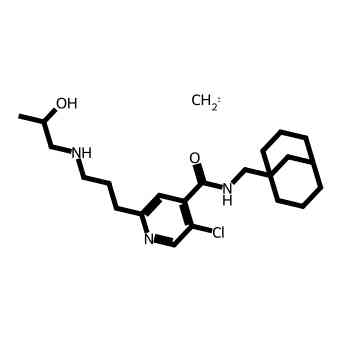 CC(O)CNCCCc1cc(C(=O)NCC23CCCC(CCC2)C3)c(Cl)cn1.[CH2]